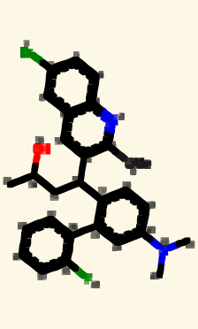 COc1nc2ccc(Br)cc2cc1C(CC(C)O)c1ccc(N(C)C)cc1-c1ccccc1F